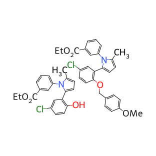 CCOC(=O)c1cccc(-n2c(C)ccc2-c2cc(Cl)ccc2O)c1.CCOC(=O)c1cccc(-n2c(C)ccc2-c2cc(Cl)ccc2OCc2ccc(OC)cc2)c1